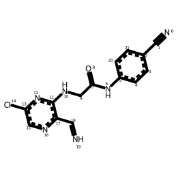 N#Cc1ccc(NC(=O)CNc2nc(Cl)cnc2C=N)cc1